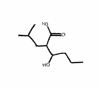 CCCC(O)C(CC(C)C)C(=O)O